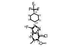 COc1c(C)nc2c(F)c([C@H]3CC[C@H](C(F)(F)F)CC3)nn2c1Cl